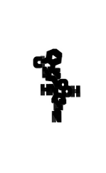 N#CN1CC(O)C(NC(=O)c2cnc(-c3ccccc3Cl)s2)C1